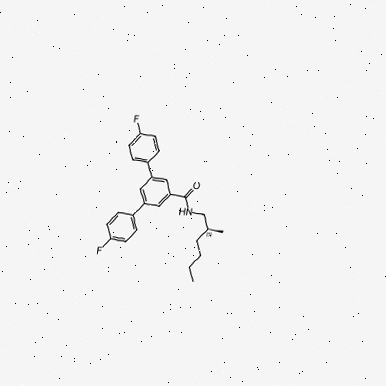 CCCC[C@H](C)CNC(=O)c1cc(-c2ccc(F)cc2)cc(-c2ccc(F)cc2)c1